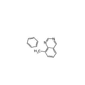 Cc1cccc2cncnc12.c1ccccc1